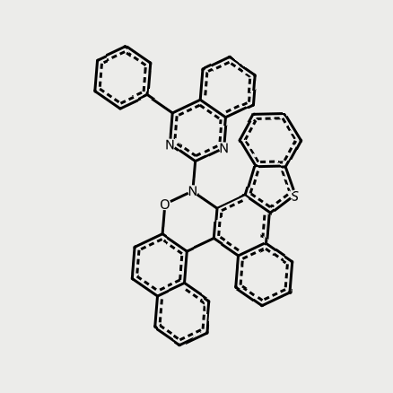 c1ccc(-c2nc(N3Oc4ccc5ccccc5c4-c4c3c3c5ccccc5sc3c3ccccc43)nc3ccccc23)cc1